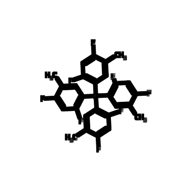 Cc1cc([B-](c2cc(C)c(F)cc2F)(c2cc(C)c(F)cc2F)c2cc(C)c(F)cc2F)c(F)cc1F